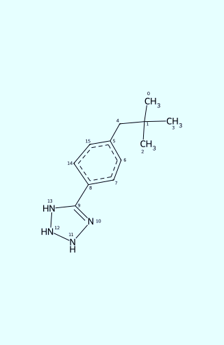 CC(C)(C)Cc1ccc(C2=NNNN2)cc1